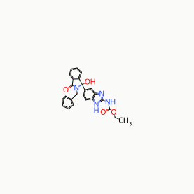 CCOC(=O)Nc1nc2cc(C3(O)c4ccccc4C(=O)N3Cc3ccccc3)ccc2[nH]1